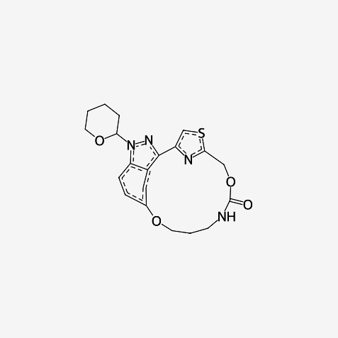 O=C1NCCCOc2ccc3c(c2)c(nn3C2CCCCO2)-c2csc(n2)CO1